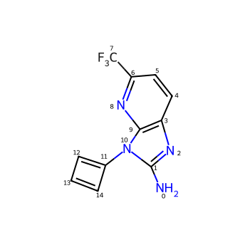 Nc1nc2ccc(C(F)(F)F)nc2n1C1=CC=C1